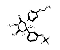 CCOc1ccc([C@H]2C(=O)N(C)C(=N)N[C@]2(C)c2cccc(OC(F)(F)F)c2)cn1